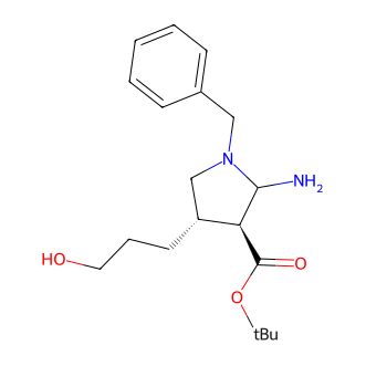 CC(C)(C)OC(=O)[C@@H]1C(N)N(Cc2ccccc2)C[C@H]1CCCO